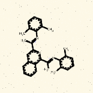 C/C(=N\c1c(C)cccc1C)c1cc2ccccc2c(/C(C)=N/c2c(C)cccc2C)n1